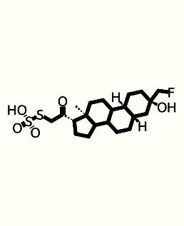 C[C@]12CCC3C(CC[C@H]4C[C@@](O)(CF)CC[C@H]34)C1CC[C@@H]2C(=O)CSS(=O)(=O)O